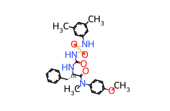 COc1ccc(N(C)C(=O)[C@H](Cc2ccccc2)NC(=O)NS(=O)(=O)Nc2cc(C)cc(C)c2)cc1